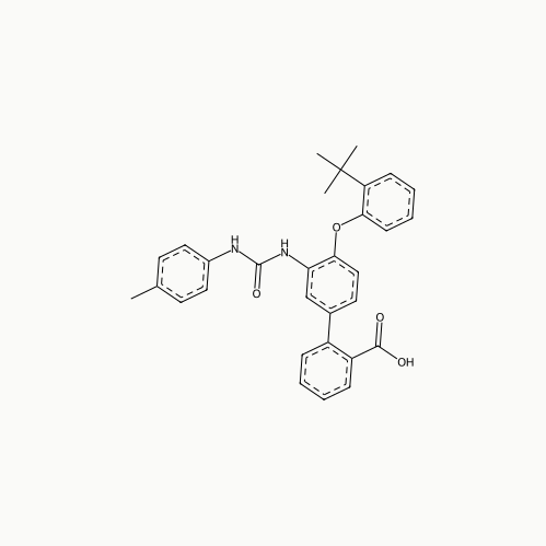 Cc1ccc(NC(=O)Nc2cc(-c3ccccc3C(=O)O)ccc2Oc2ccccc2C(C)(C)C)cc1